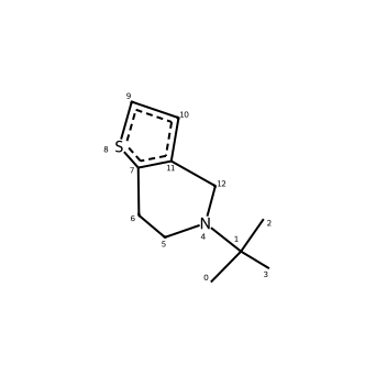 CC(C)(C)N1CCc2sccc2C1